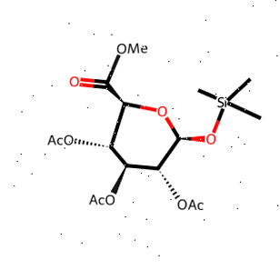 COC(=O)[C@H]1O[C@@H](O[Si](C)(C)C)[C@H](OC(C)=O)[C@@H](OC(C)=O)[C@@H]1OC(C)=O